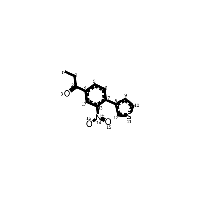 CCC(=O)c1ccc(-c2ccsc2)c([N+](=O)[O-])c1